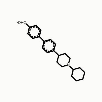 O=[C]c1ccc(-c2ccc(C3CCN(C4CCCCC4)CC3)cc2)cc1